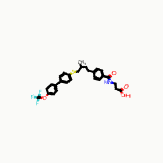 CC(CCc1ccc(C(=O)NCCC(=O)O)cc1)CSc1ccc(-c2ccc(OC(F)(F)F)cc2)cc1